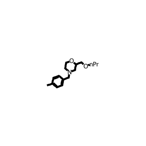 CCCOCC1CN(Cc2ccc(C)cc2)CCO1